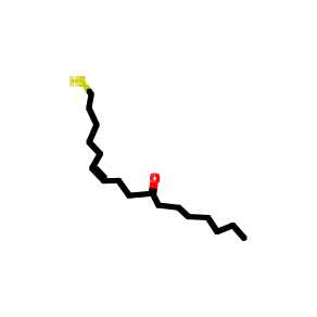 CCCCCCCC(=O)CC/C=C\CCCCCS